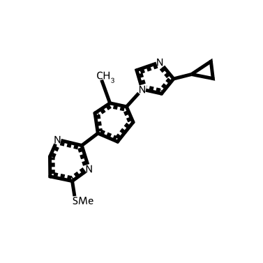 CSc1ccnc(-c2ccc(-n3cnc(C4CC4)c3)c(C)c2)n1